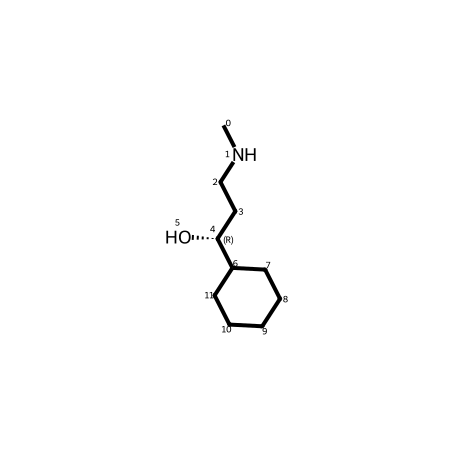 CNCC[C@@H](O)C1CCCCC1